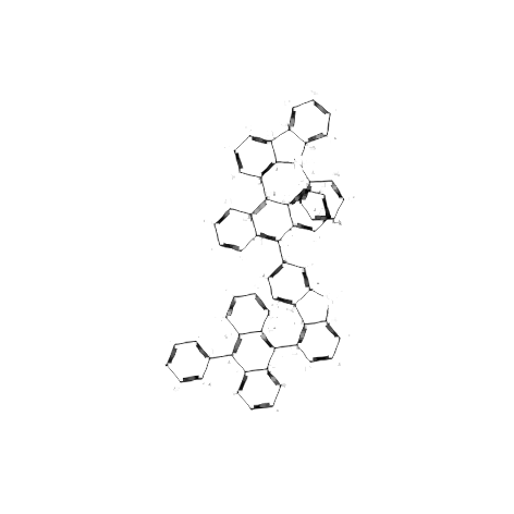 c1ccc(-c2c3ccccc3c(-c3cccc4sc5cc(-c6c7ccccc7c(-c7cccc8c9ccccc9n(-c9ccccc9)c78)c7ccccc67)ccc5c34)c3ccccc23)cc1